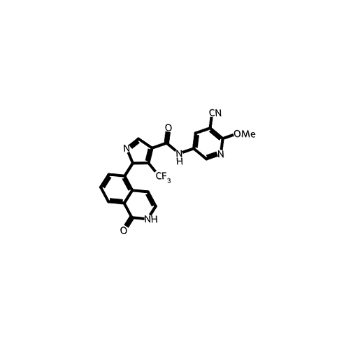 COc1ncc(NC(=O)C2=C(C(F)(F)F)C(c3cccc4c(=O)[nH]ccc34)N=C2)cc1C#N